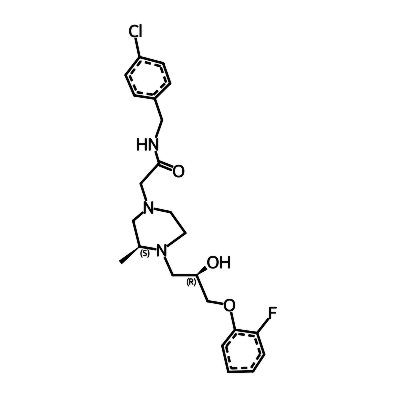 C[C@H]1CN(CC(=O)NCc2ccc(Cl)cc2)CCN1C[C@@H](O)COc1ccccc1F